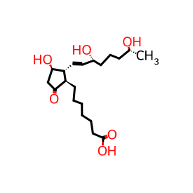 C[C@@H](O)CCC[C@@H](O)C=C[C@H]1[C@H](O)CC(=O)[C@@H]1CCCCCCC(=O)O